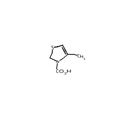 CC1=CSCN1C(=O)O